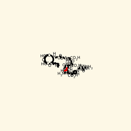 C/C(=C\c1csc(C)n1)C1CCC(NCCOC(=O)OCCSSCC(NC(=O)C(CC(=O)O)NC(=O)C(CCCNC(=N)N)NC(=O)C(CC(=O)O)NC(=O)CCC(NC(=O)c2ccc(NCc3cnc4nc(N)[nH]c(=O)c4n3)cc2)C(=O)O)C(=O)O)CCCC(C)C(O)C(C)C(=O)C(C)(C)C(O)CC(=O)O1